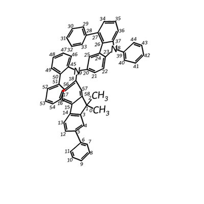 CC1(C)c2cc(-c3ccccc3)ccc2-c2ccc(N(c3ccc4c(c3)c3c(-c5ccccc5)cccc3n4-c3ccccc3)c3ccccc3-c3ccccc3)cc21